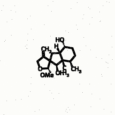 C=C1CO[C@@H](OC)C12C[C@@H]1[C@H](O)CC[C@@H](C)[C@]1(C)[C@H]2O